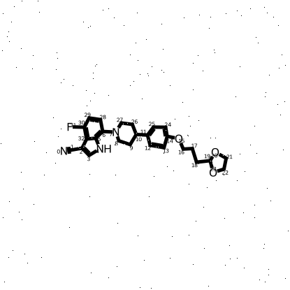 N#Cc1c[nH]c2c(N3CCC(c4ccc(OCCCC5OCCO5)cc4)CC3)ccc(F)c12